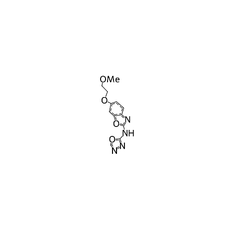 COCCOc1ccc2nc(Nc3nnco3)oc2c1